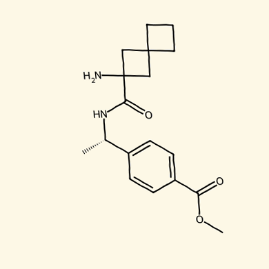 COC(=O)c1ccc([C@H](C)NC(=O)C2(N)CC3(CCC3)C2)cc1